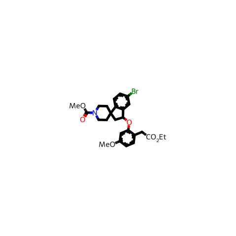 CCOC(=O)Cc1ccc(OC)cc1OC1CC2(CCN(C(=O)OC)CC2)c2ccc(Br)cc21